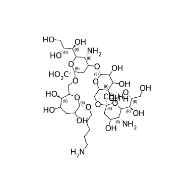 NCCCCCO[C@H]1OC(CO[C@]2(C(=O)O)CC(O[C@H]3OC(CO[C@]4(C(=O)O)CC(O)[C@@H](N)C([C@H](O)[C@H](O)CO)O4)[C@H](O)C(O)C3O)[C@@H](N)C([C@H](O)[C@H](O)CO)O2)[C@H](O)C(O)CC1O